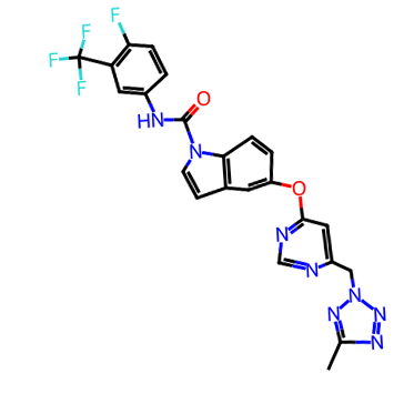 Cc1nnn(Cc2cc(Oc3ccc4c(ccn4C(=O)Nc4ccc(F)c(C(F)(F)F)c4)c3)ncn2)n1